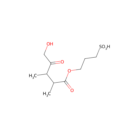 CC(C(=O)CO)C(C)C(=O)OCCCS(=O)(=O)O